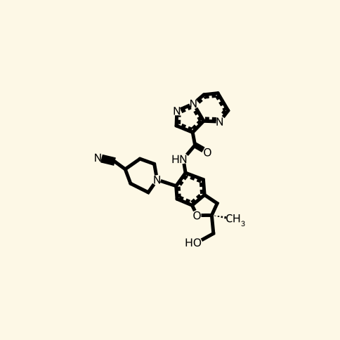 C[C@@]1(CO)Cc2cc(NC(=O)c3cnn4cccnc34)c(N3CCC(C#N)CC3)cc2O1